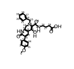 COc1ccc(-c2cc3c([nH]c2=O)CN(Cc2ccccc2)C(C(=O)NCCCC(=O)O)=C3O)cc1